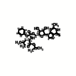 Cc1nc2c(ncn2C2O[C@H](COP(=O)(N[C@@H](CC(C)C)C(=O)OC(C)C)Oc3ccccc3)C(O)C2O)c(=S)[nH]1